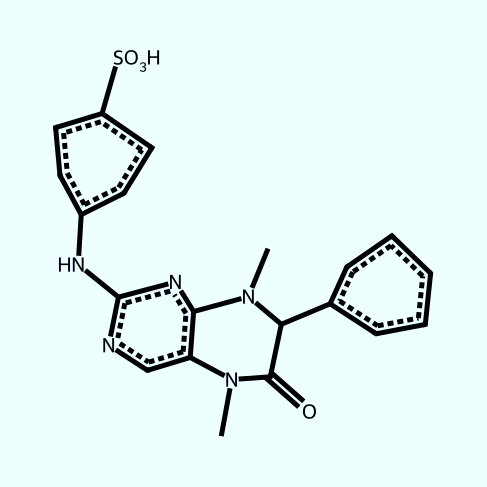 CN1C(=O)C(c2ccccc2)N(C)c2nc(Nc3ccc(S(=O)(=O)O)cc3)ncc21